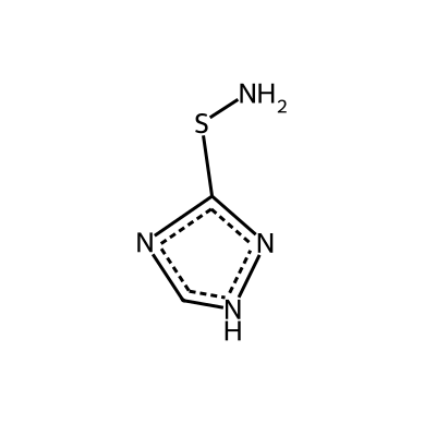 NSc1nc[nH]n1